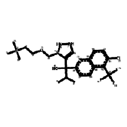 CC(C)C(O)(C1=CNNN1COCC[Si](C)(C)C)c1ccc2c(C(F)(F)F)c(Cl)ccc2n1